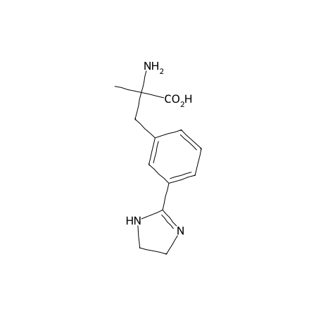 CC(N)(Cc1cccc(C2=NCCN2)c1)C(=O)O